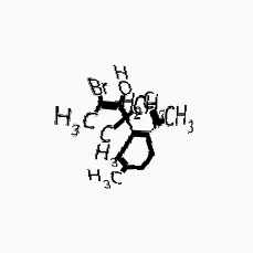 C=C(C)[C@@H]1CCC(C)=C[C@H]1C(C)(C)/C(O)=C(\C)Br